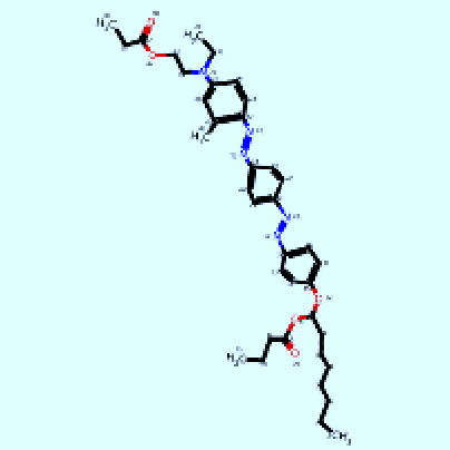 CCCCCCCC(OC(=O)CCC)Oc1ccc(/N=N/c2ccc(/N=N/c3ccc(N(CC)CCOC(=O)CC)cc3C)cc2)cc1